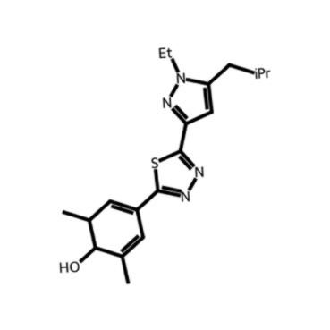 CCn1nc(-c2nnc(C3=CC(C)C(O)C(C)=C3)s2)cc1CC(C)C